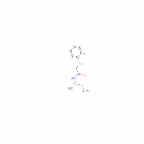 COC[C@H](C)NC(=O)CSc1ccccc1